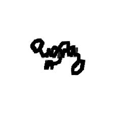 CC(C)CN1C2(CCC13CN(Cc1ccccc1)C3)CN(Cc1ccccc1)C2